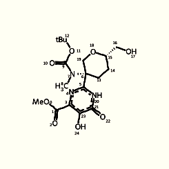 COC(=O)c1nc([C@]2(N(C)C(=O)OC(C)(C)C)CC[C@@H](CO)OC2)[nH]c(=O)c1O